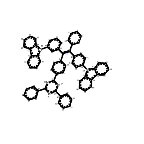 c1ccc(/C(=C(/c2ccc(-c3nc(-c4ccccc4)nc(-c4ccccc4)n3)cc2)c2cccc(-n3c4ccccc4c4ccccc43)c2)c2ccc(-n3c4ccccc4c4ccccc43)cc2)cc1